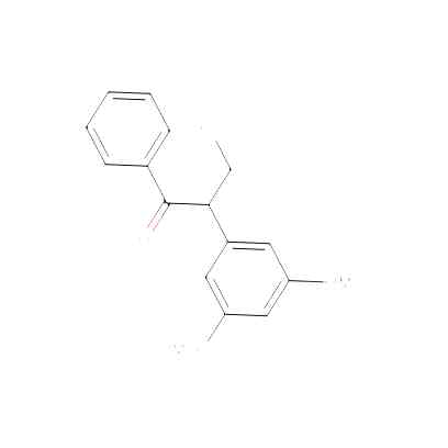 COc1cc(OC)cc(C(CC(C)=O)C(=O)c2ccccc2)c1